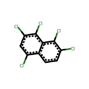 Clc1ccc2c(Cl)cc(Cl)c(Cl)c2c1Cl